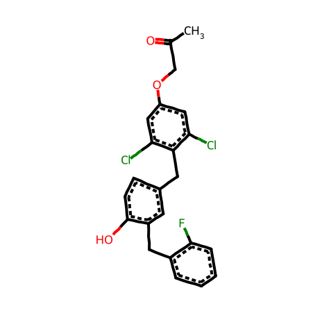 CC(=O)COc1cc(Cl)c(Cc2ccc(O)c(Cc3ccccc3F)c2)c(Cl)c1